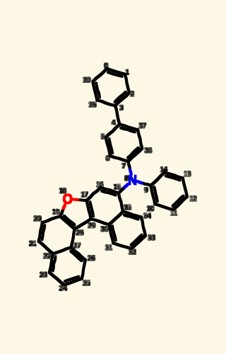 c1ccc(-c2ccc(N(c3ccccc3)c3cc4oc5ccc6ccccc6c5c4c4ccccc34)cc2)cc1